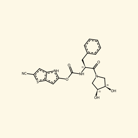 N#Cc1cc2[nH]c(OC(=O)N[C@@H](Cc3ccccc3)C(=O)N3C[C@@H](O)[C@@H](O)C3)cc2s1